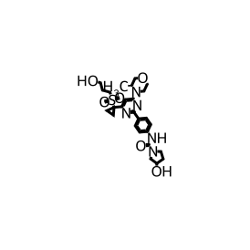 C[C@H]1COCCN1c1cc(C2(S(=O)(=O)CCCO)CC2)nc(-c2ccc(NC(=O)N3CCC(O)C3)cc2)n1